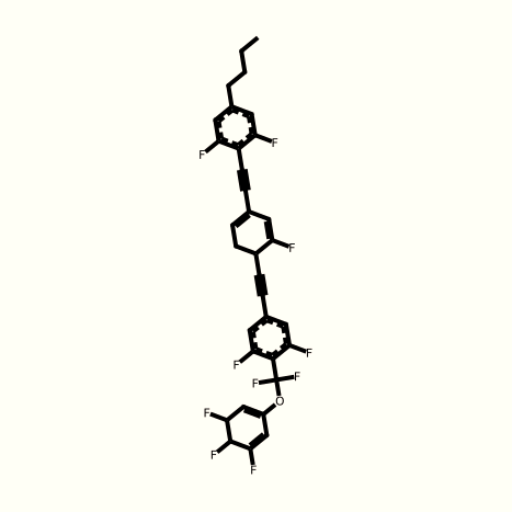 CCCCc1cc(F)c(C#CC2=CCC(C#Cc3cc(F)c(C(F)(F)OC4=CC(F)C(F)C(F)=C4)c(F)c3)C(F)=C2)c(F)c1